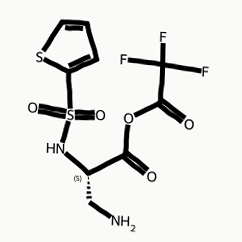 NC[C@H](NS(=O)(=O)c1cccs1)C(=O)OC(=O)C(F)(F)F